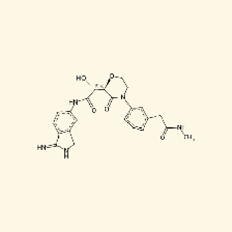 CNC(=O)Cc1cccc(N2CCO[C@H]([C@@H](O)C(=O)Nc3ccc4c(c3)CNC4=N)C2=O)c1